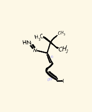 CC(C)(C)/C(=C/C=C\I)N=N